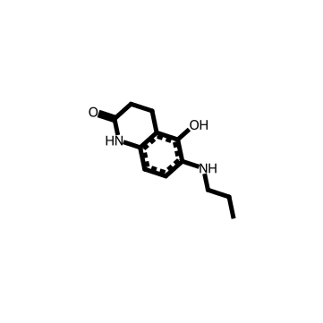 CCCNc1ccc2c(c1O)CCC(=O)N2